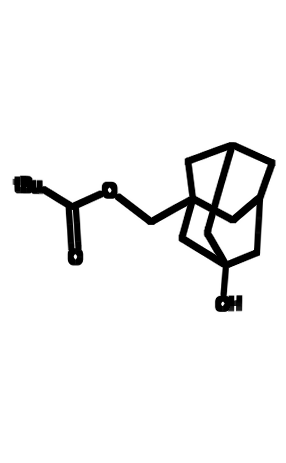 CC(C)(C)C(=O)OCC12CC3CC(CC(O)(C3)C1)C2